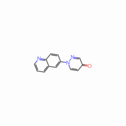 O=c1ccn(-c2ccc3ncccc3c2)nc1